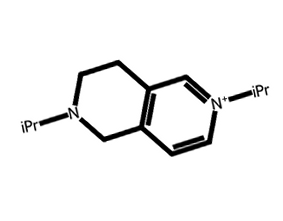 CC(C)N1CCc2c[n+](C(C)C)ccc2C1